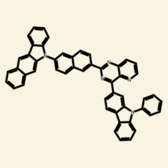 c1ccc(-n2c3ccccc3c3ccc(-c4nc(-c5ccc6cc(-n7c8ccccc8c8cc9ccccc9cc87)ccc6c5)nc5cccnc45)cc32)cc1